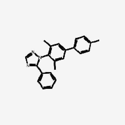 Cc1ccc(-c2cc(C)c(-n3ncnc3-c3ccccc3)c(C)c2)cc1